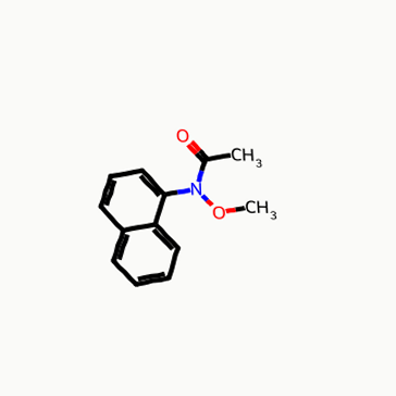 CON(C(C)=O)c1cccc2ccccc12